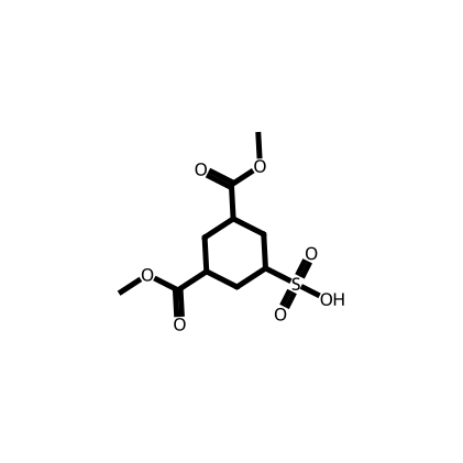 COC(=O)C1CC(C(=O)OC)CC(S(=O)(=O)O)C1